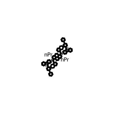 CCCc1cc(N(c2ccc3c4ccccc4n(-c4ccc(-c5ccccc5)cc4)c3c2)c2cccc3c2CCCC3)c2ccc3c(CCC)cc(N(c4ccc5c6ccccc6n(-c6ccc(-c7ccccc7)cc6)c5c4)c4cccc5c4CCCC5)c4ccc1c2c34